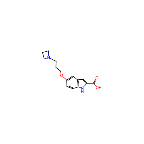 O=C(O)c1cc2cc(OCCCN3CCC3)ccc2[nH]1